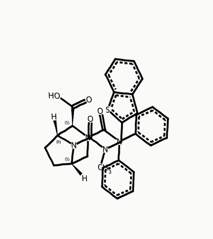 CN(Cc1cc2ccccc2s1)C(=O)N1[C@H]2CC[C@@H]1[C@@H](C(=O)O)N(C(=O)N(c1ccccc1)c1ccccc1)C2